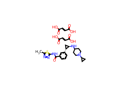 Cc1nnc(NC(=O)c2cccc([C@@H]3C[C@H]3NC3CCN(C4CC4)CC3)c2)s1.O=C(O)/C=C/C(=O)O.O=C(O)/C=C/C(=O)O